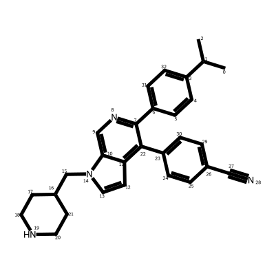 CC(C)c1ccc(-c2ncc3c(ccn3CC3CCNCC3)c2-c2ccc(C#N)cc2)cc1